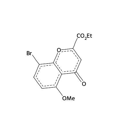 CCOC(=O)c1cc(=O)c2c(OC)ccc(Br)c2o1